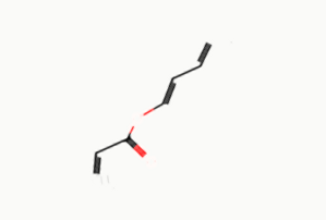 C=CC=COC(=O)C=C